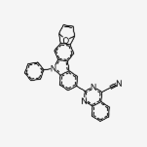 N#Cc1nc(-c2ccc3c(c2)c2cc4c(cc2n3-c2ccccc2)C2C=CC4O2)nc2ccccc12